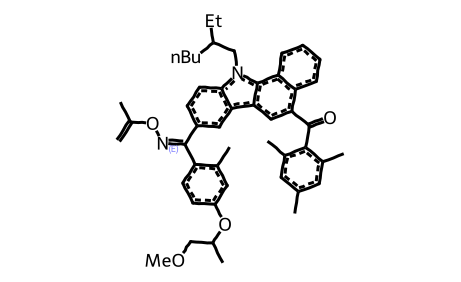 C=C(C)O/N=C(\c1ccc2c(c1)c1cc(C(=O)c3c(C)cc(C)cc3C)c3ccccc3c1n2CC(CC)CCCC)c1ccc(OC(C)COC)cc1C